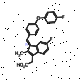 CC1=C(CC(=O)O)c2ccc(F)cc2/C1=C\c1ccc(Oc2ccc(F)cc2)cc1